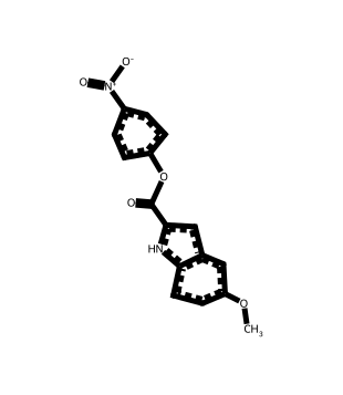 COc1ccc2[nH]c(C(=O)Oc3ccc([N+](=O)[O-])cc3)cc2c1